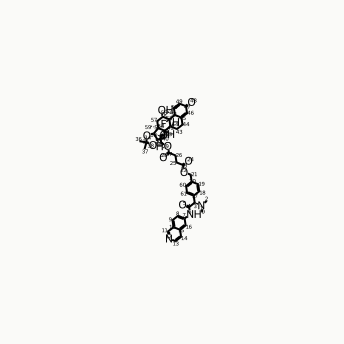 CN(C)[C@@H](C(=O)Nc1ccc2cnccc2c1)c1ccc(COC(=O)CCC(=O)OCC(=O)[C@@]23OC(C)(C)O[C@@H]2C[C@H]2[C@@H]4CCC5=CC(=O)C=C[C@]5(C)[C@@]4(F)[C@@H](O)C[C@@]23C)cc1